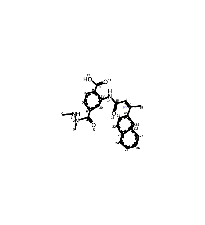 CNN(C)C(=O)c1ccc(C(=O)O)c(NC(=O)/C=C(/C)c2ccc3ccccc3c2)c1